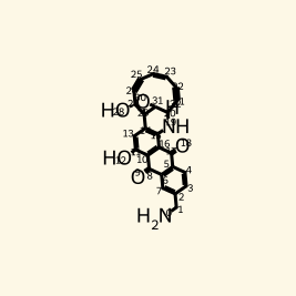 NCc1ccc2c(c1)C(=O)c1c(O)cc3c(c1C2=O)N[C@H]1C#C/C=C\C#C[C@H](O)[C@@]32OC12